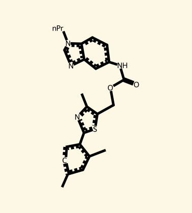 CCCn1cnc2cc(NC(=O)OCc3sc(-c4ccc(C)cc4C)nc3C)ccc21